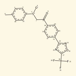 Cc1ccc([S+]([O-])CC(=O)c2ccc(-c3noc(C(F)(F)F)n3)cc2)cc1